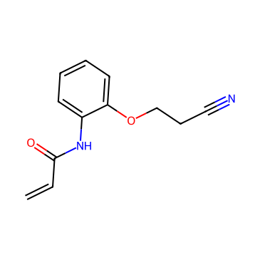 C=CC(=O)Nc1ccccc1OCCC#N